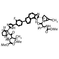 COC(=O)NC(C(=O)N1[C@@H]2CC[C@@H](C2)[C@H]1c1ncc(-c2ccc(-c3ccc4c(ccc5nc([C@@H]6CC7C(C)C7N6C(=O)[C@@H](NC(=O)OC)C(C)C)[nH]c54)c3)cc2F)[nH]1)[C@@H](C)OC